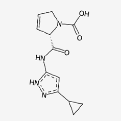 O=C(Nc1cc(C2CC2)n[nH]1)[C@@H]1C=CCN1C(=O)O